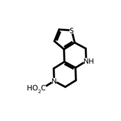 O=C(O)N1CCC2=C(C1)c1ccsc1CN2